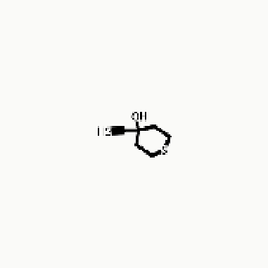 OC1(C#[SH])CCSCC1